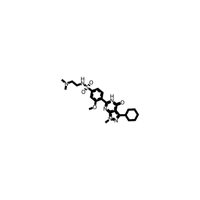 COc1cc(S(=O)(=O)NCCN(C)C)ccc1-c1nc2c(c(C3CCCCC3)nn2C)c(=O)[nH]1